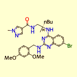 CCCC[C@](C)(CNC(=O)c1cnn(C)c1)Nc1nc(NCc2ccc(OC)cc2OC)nc2cc(Br)ccc12